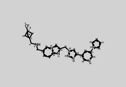 FC(F)(F)C12CC(CNCc3ccc4nc(Cn5cc(-c6cncc(-n7cccc7)c6)nn5)cn4c3)(C1)C2